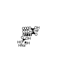 F.N=C=O.N=C=O.N=C=O.O=C(O)C(=O)O.O=P(O)(O)O.[NaH]